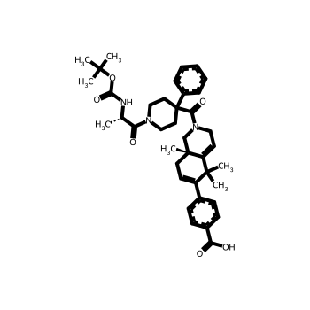 C[C@H](NC(=O)OC(C)(C)C)C(=O)N1CCC(C(=O)N2CC=C3C(C)(C)C(c4ccc(C(=O)O)cc4)=CC[C@]3(C)C2)(c2ccccc2)CC1